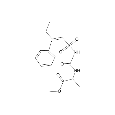 CC/C(=C/S(=O)(=O)NC(=O)NC(C)C(=O)OC)c1ccccc1